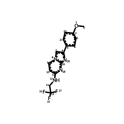 COc1ccc(-c2cn3ccc(NCC(F)(F)F)nc3n2)cc1